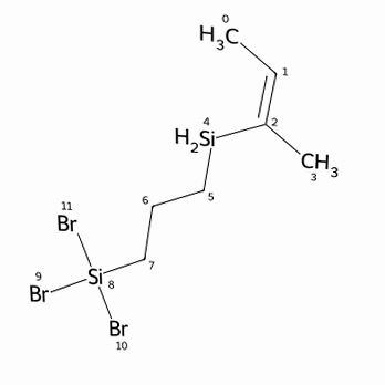 CC=C(C)[SiH2]CCC[Si](Br)(Br)Br